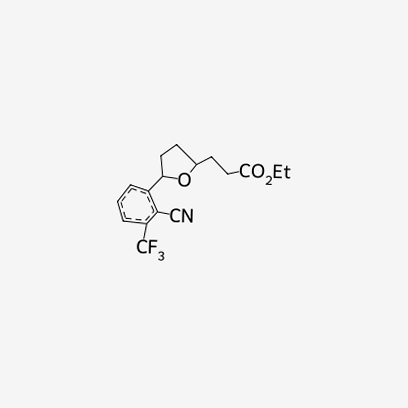 CCOC(=O)CCC1CCC(c2cccc(C(F)(F)F)c2C#N)O1